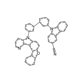 N#Cc1ccc2c(c1)c1ccccc1n2-c1cccc(-c2cccc(-n3c4cccnc4c4c5c(ccc43)oc3ccccc35)c2)c1